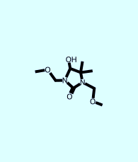 COCN1C(=O)N(COC)C(C)(C)C1O